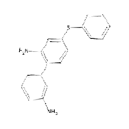 Nc1cccc(-c2ccc(Sc3ccccc3)cc2N)c1